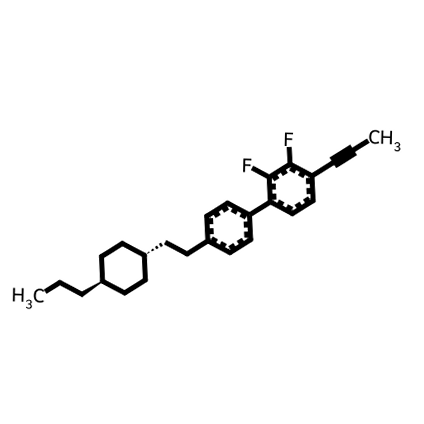 CC#Cc1ccc(-c2ccc(CC[C@H]3CC[C@H](CCC)CC3)cc2)c(F)c1F